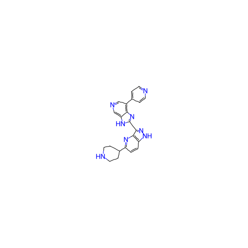 c1cc(-c2cncc3[nH]c(-c4n[nH]c5ccc(C6CCNCC6)nc45)nc23)ccn1